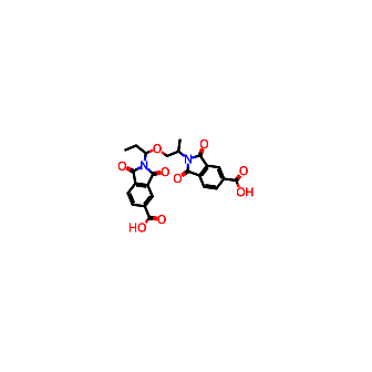 CCC(OCC(C)N1C(=O)c2ccc(C(=O)O)cc2C1=O)N1C(=O)c2ccc(C(=O)O)cc2C1=O